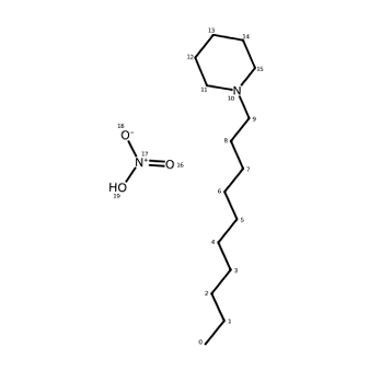 CCCCCCCCCCN1CCCCC1.O=[N+]([O-])O